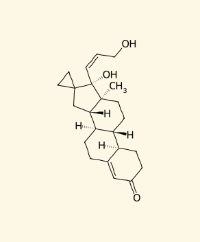 C[C@]12CC[C@H]3[C@@H](CCC4=CC(=O)CC[C@@H]43)[C@@H]1CC1(CC1)[C@@]2(O)/C=C\CO